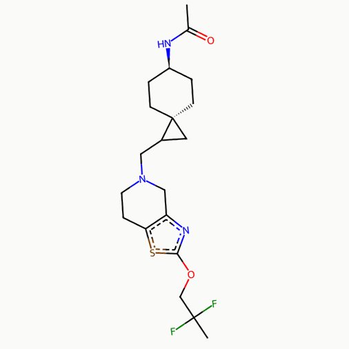 CC(=O)N[C@H]1CC[C@]2(CC1)CC2CN1CCc2sc(OCC(C)(F)F)nc2C1